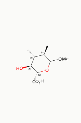 COC1O[C@H](C(=O)O)[C@@H](O)[C@H](C)[C@H]1C